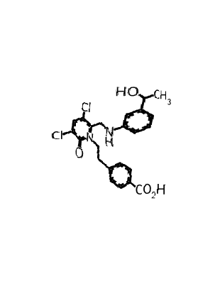 CC(O)c1cccc(NCc2c(Cl)cc(Cl)c(=O)n2CCc2ccc(C(=O)O)cc2)c1